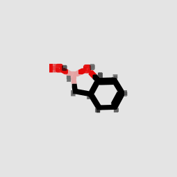 OB1CC2CC=CC=C2O1